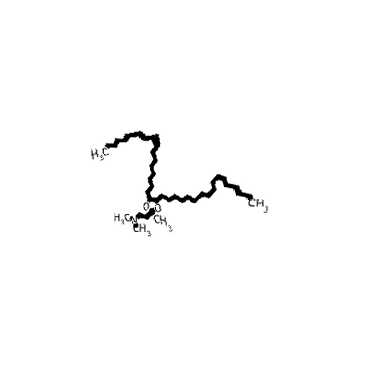 CCCCC/C=C\C/C=C\CCCCCCCC1OC(C)(CCN(C)C)OC1CCCCCCC/C=C\C/C=C\CCCCC